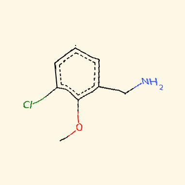 COc1c(Cl)c[c]cc1CN